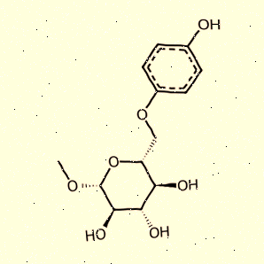 CO[C@@H]1O[C@H](COc2ccc(O)cc2)[C@@H](O)[C@H](O)[C@H]1O